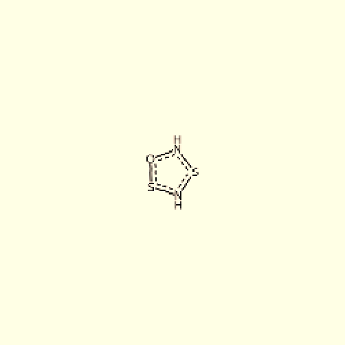 [nH]1os[nH]s1